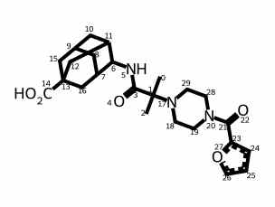 CC(C)(C(=O)NC1C2CC3CC1CC(C(=O)O)(C3)C2)N1CCN(C(=O)c2ccco2)CC1